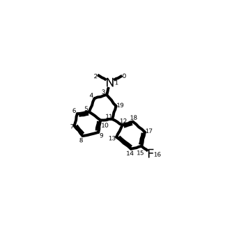 CN(C)C1Cc2ccccc2C(c2ccc(F)cc2)C1